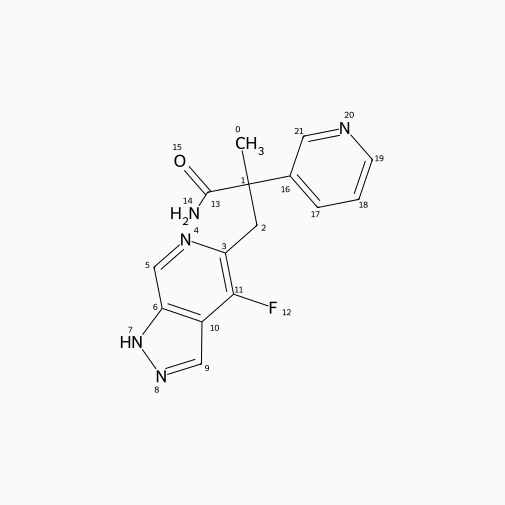 CC(Cc1ncc2[nH]ncc2c1F)(C(N)=O)c1cccnc1